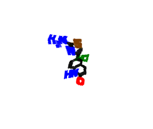 Cl.Nc1nc(-c2ccc3c(c2)CCC(=O)N3)cs1